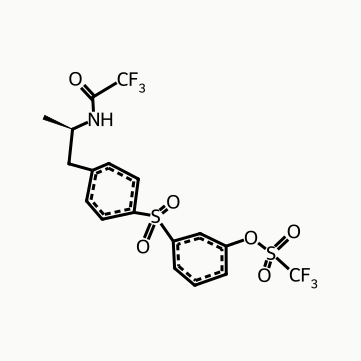 C[C@H](Cc1ccc(S(=O)(=O)c2cccc(OS(=O)(=O)C(F)(F)F)c2)cc1)NC(=O)C(F)(F)F